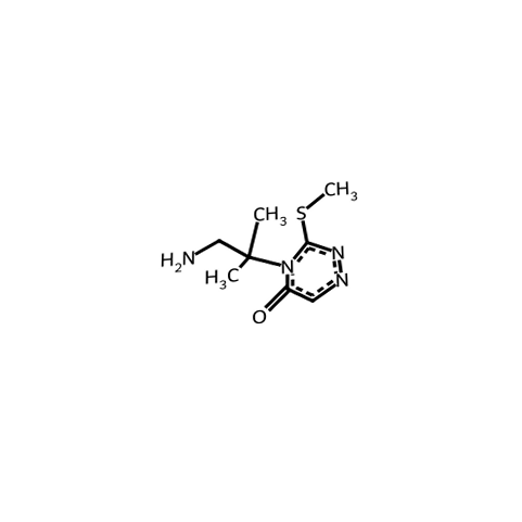 CSc1nncc(=O)n1C(C)(C)CN